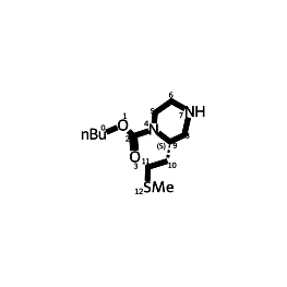 CCCCOC(=O)N1CCNC[C@@H]1CCSC